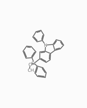 CO[Si](c1ccccc1)(c1ccccc1)c1ccc2c3ccccc3n(-c3ccccc3)c2c1